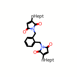 CCCCCCCC1=CC(=O)N(Cc2ccccc2CN2C(=O)C=C(CCCCCCC)C2=O)C1=O